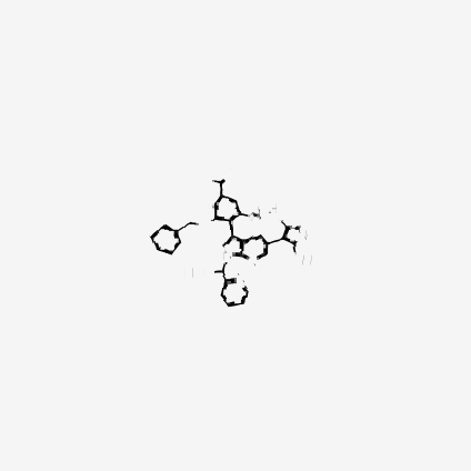 COc1cc(C(=O)O)cc(OCc2ccccc2)c1-c1cn(C(C)c2ccccn2)c2ncc(-c3c(C)noc3C)cc12